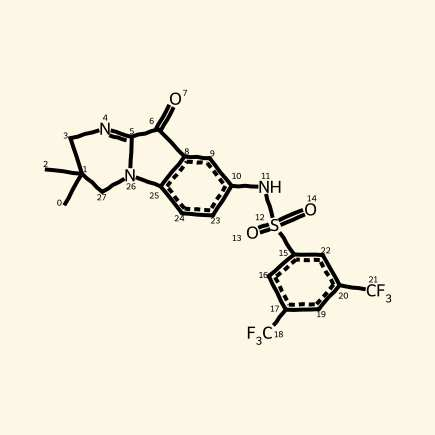 CC1(C)CN=C2C(=O)c3cc(NS(=O)(=O)c4cc(C(F)(F)F)cc(C(F)(F)F)c4)ccc3N2C1